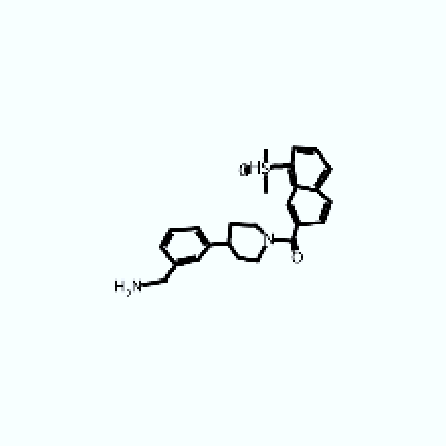 C[SH](C)(=O)c1cccc2ccc(C(=O)N3CCC(c4cccc(CN)c4)CC3)cc12